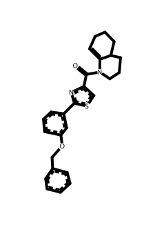 O=C(c1csc(-c2cccc(OCc3ccccc3)c2)n1)N1CCCC2CCCC=C21